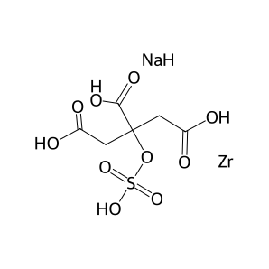 O=C(O)CC(CC(=O)O)(OS(=O)(=O)O)C(=O)O.[NaH].[Zr]